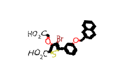 O=C(O)COc1c(C(=O)O)sc(-c2cccc(OCc3ccc4ccccc4c3)c2)c1Br